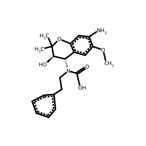 COc1cc2c(cc1N)OC(C)(C)[C@H](O)[C@H]2N(CCc1ccccc1)C(=O)O